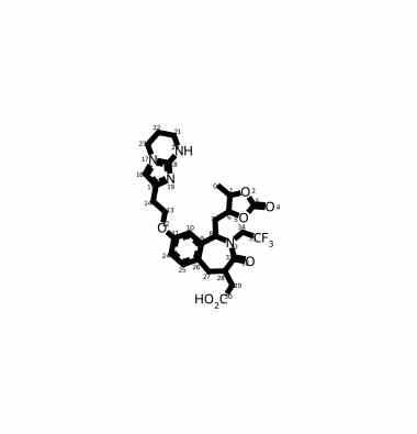 CC1OC(=O)OC1CC1c2cc(OCCc3cn4c(n3)NCCC4)ccc2CC(CC(=O)O)C(=O)N1CC(F)(F)F